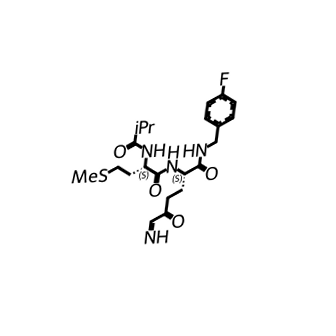 CSCC[C@H](NC(=O)C(C)C)C(=O)N[C@@H](CCC(=O)C=N)C(=O)NCc1ccc(F)cc1